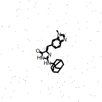 Cn1cnc2ccc(/C=C3\N=C(NC45CC6CC(CC(C6)C4)C5)NC3=O)cc21